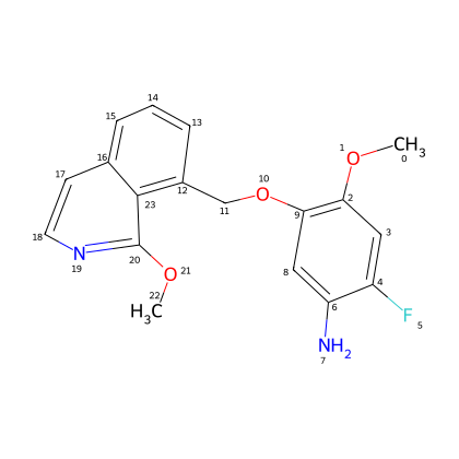 COc1cc(F)c(N)cc1OCc1cccc2ccnc(OC)c12